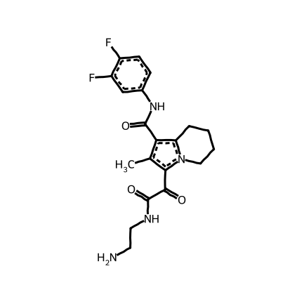 Cc1c(C(=O)Nc2ccc(F)c(F)c2)c2n(c1C(=O)C(=O)NCCN)CCCC2